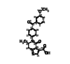 COc1cccc(C(=O)c2ccc(N3C(=O)c4c(C(=O)O)cnn4CC3C)cc2)c1